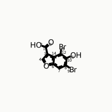 O=C(O)c1coc2cc(Br)c(O)c(Br)c12